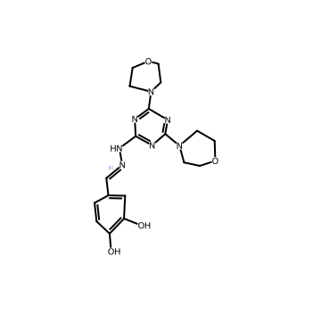 Oc1ccc(/C=N/Nc2nc(N3CCOCC3)nc(N3CCOCC3)n2)cc1O